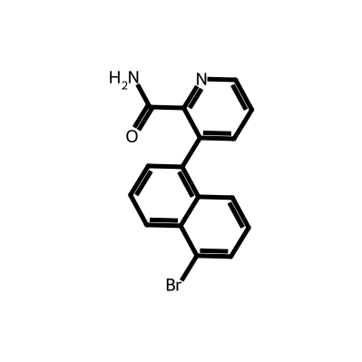 NC(=O)c1ncccc1-c1cccc2c(Br)cccc12